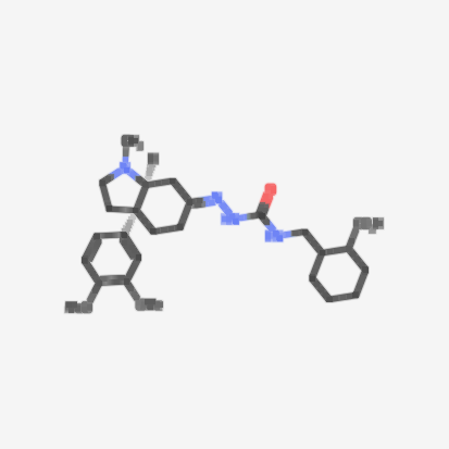 COc1ccc([C@@]23CCC(=NNC(=O)NCC4CCCCC4C(=O)O)C[C@@H]2N(C)CC3)cc1OC